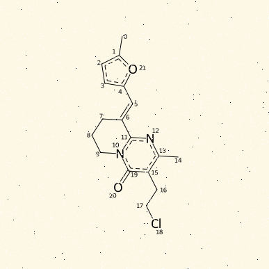 Cc1ccc(/C=C2\CCCn3c2nc(C)c(CCCl)c3=O)o1